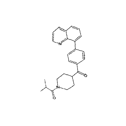 CC(C)C(=O)N1CCC(C(=O)c2ccc(-c3cccc4cccnc34)cc2)CC1